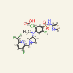 CN(c1cc(F)c(S(=O)(=O)Nc2cscn2)cc1Cl)C1CCN(Cc2nc(C(F)F)ccc2F)C1.O=CO